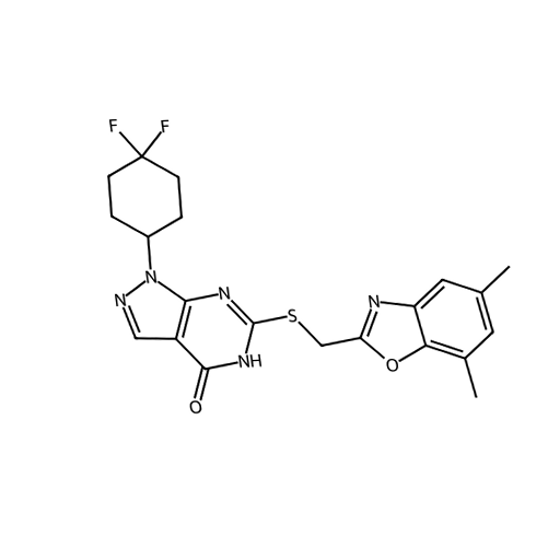 Cc1cc(C)c2oc(CSc3nc4c(cnn4C4CCC(F)(F)CC4)c(=O)[nH]3)nc2c1